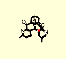 Cc1ccc(OC2CC3CCC2N(C(=O)c2nc(C)ccc2-c2nccs2)C3)nc1